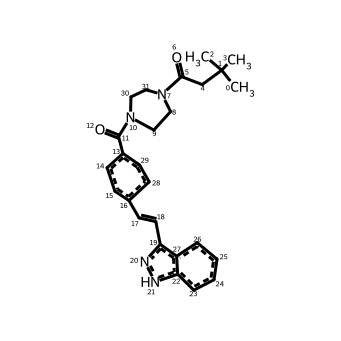 CC(C)(C)CC(=O)N1CCN(C(=O)c2ccc(C=Cc3n[nH]c4ccccc34)cc2)CC1